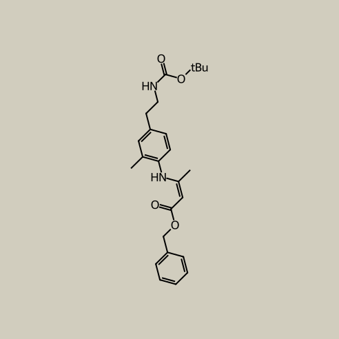 CC(=CC(=O)OCc1ccccc1)Nc1ccc(CCNC(=O)OC(C)(C)C)cc1C